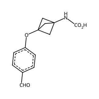 O=Cc1ccc(OC23CC(NC(=O)O)(C2)C3)cc1